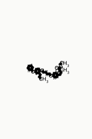 CCCc1cc(Oc2ccccc2)ccc1OCCCCOc1ccc2c(c1)OC(C)(C(=O)OCC)CC2